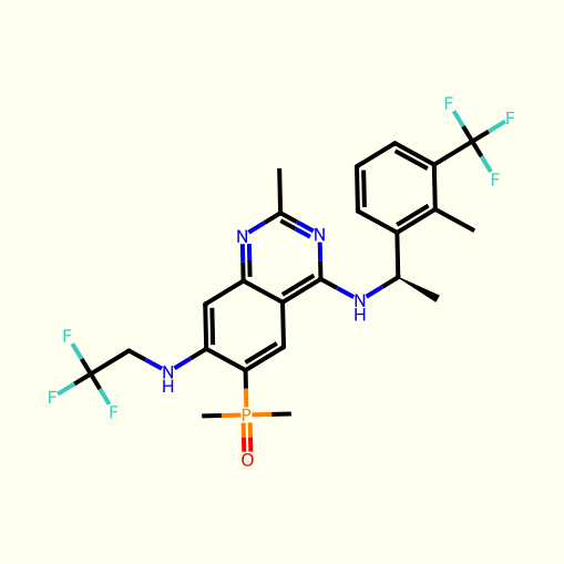 Cc1nc(N[C@H](C)c2cccc(C(F)(F)F)c2C)c2cc(P(C)(C)=O)c(NCC(F)(F)F)cc2n1